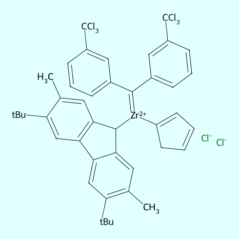 Cc1cc2c(cc1C(C)(C)C)-c1cc(C(C)(C)C)c(C)cc1[CH]2[Zr+2]([C]1=CC=CC1)=[C](c1cccc(C(Cl)(Cl)Cl)c1)c1cccc(C(Cl)(Cl)Cl)c1.[Cl-].[Cl-]